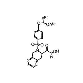 CCCC(OC)Oc1ccc(S(=O)(=O)N2Cc3nccnc3CC2C(=O)NO)cc1